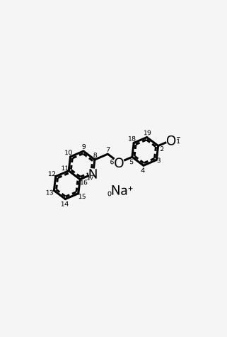 [Na+].[O-]c1ccc(OCc2ccc3ccccc3n2)cc1